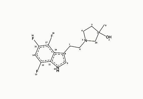 CC1(O)CCN(CCc2c[nH]c3c(F)cc(F)c(F)c23)C1